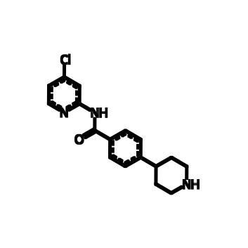 O=C(Nc1cc(Cl)ccn1)c1ccc(C2CCNCC2)cc1